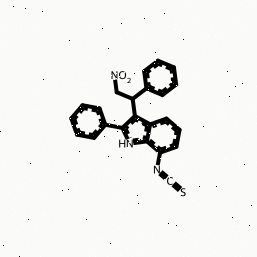 O=[N+]([O-])CC(c1ccccc1)c1c(-c2ccccc2)[nH]c2c(N=C=S)cccc12